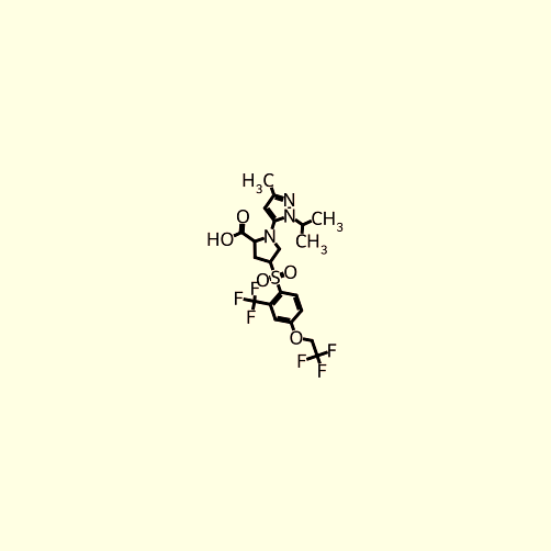 Cc1cc(N2CC(S(=O)(=O)c3ccc(OCC(F)(F)F)cc3C(F)(F)F)CC2C(=O)O)n(C(C)C)n1